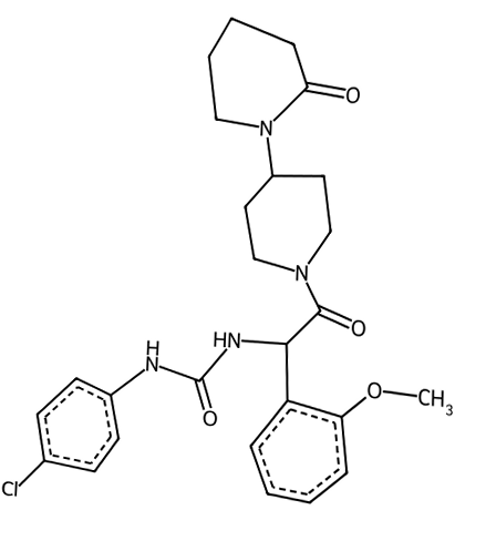 COc1ccccc1C(NC(=O)Nc1ccc(Cl)cc1)C(=O)N1CCC(N2CCCCC2=O)CC1